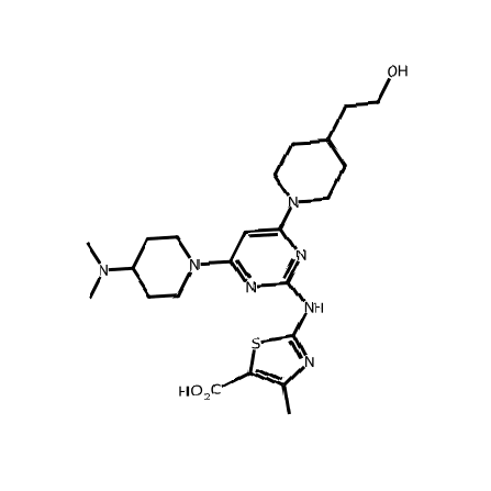 Cc1nc(Nc2nc(N3CCC(CCO)CC3)cc(N3CCC(N(C)C)CC3)n2)sc1C(=O)O